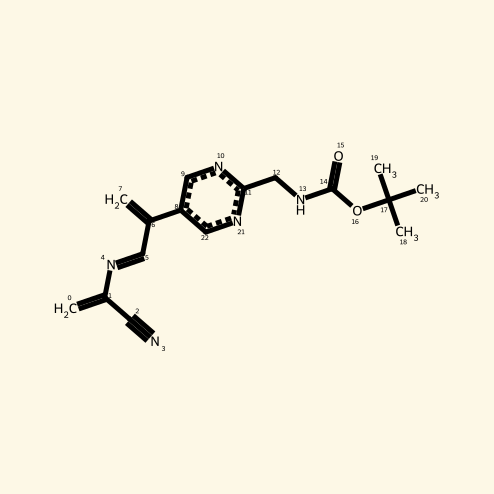 C=C(C#N)/N=C/C(=C)c1cnc(CNC(=O)OC(C)(C)C)nc1